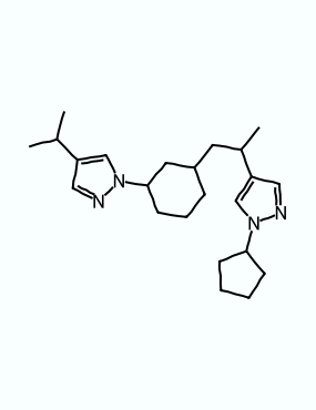 CC(C)c1cnn(C2CCCC(CC(C)c3cnn(C4CCCC4)c3)C2)c1